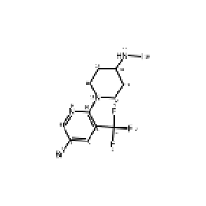 FC(F)(F)c1cc(Br)cnc1N1CCC(NI)CC1